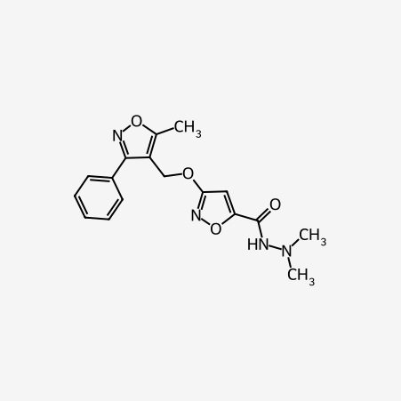 Cc1onc(-c2ccccc2)c1COc1cc(C(=O)NN(C)C)on1